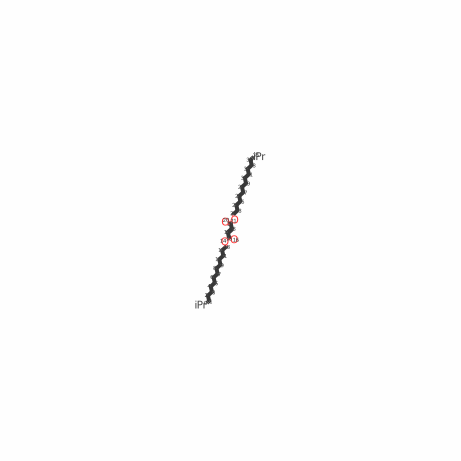 CC(C)CCCCCCCCCCCCCOC(=O)/C=C/C(=O)OCCCCCCCCCCCCCC(C)C